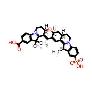 C[C@H]1C2=C3C=C4C=C5C6=[N+](CC[C@H]5O[C@H]4C[C@H]3CCN2c2ccc(S(=O)(=O)O)cc21)c1ccc(C(=O)O)cc1C6(C)C